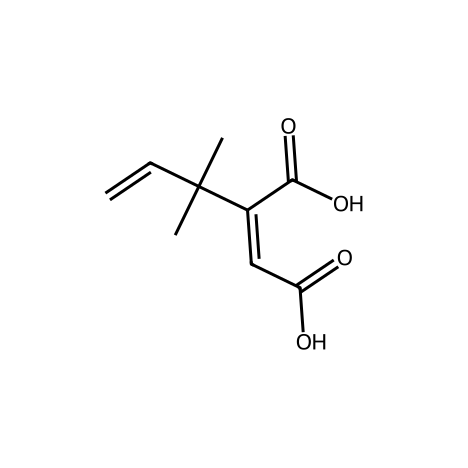 C=CC(C)(C)C(=CC(=O)O)C(=O)O